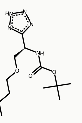 CCCCOC[C@H](NC(=O)OC(C)(C)C)c1nn[nH]n1